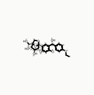 CCOc1ccc([C@@H](O)c2cc([C@]34OC[C@](CO)(O3)[C@@H](O)[C@H](O)[C@H]4O)ccc2Cl)cc1